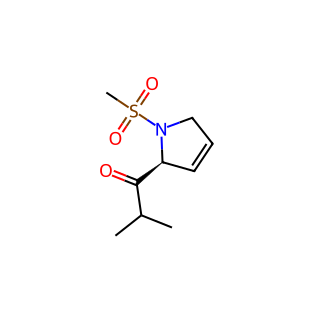 CC(C)C(=O)[C@@H]1C=CCN1S(C)(=O)=O